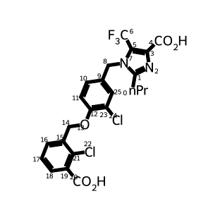 CCCc1nc(C(=O)O)c(C(F)(F)F)n1Cc1ccc(OCc2cccc(C(=O)O)c2Cl)c(Cl)c1